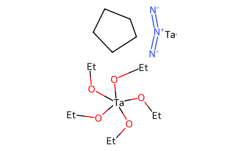 C1CCCC1.CC[O][Ta]([O]CC)([O]CC)([O]CC)[O]CC.[N-]=[N+]=[N-].[Ta]